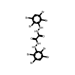 O=C(NNc1c(Br)c(Br)cc(Br)c1Br)C(=O)NNc1c(Br)c(Br)cc(Br)c1Br